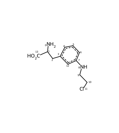 NC(Cc1cccc(NCCCl)c1)C(=O)O